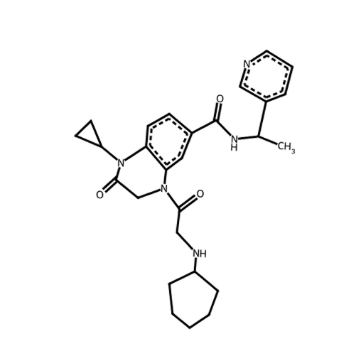 CC(NC(=O)c1ccc2c(c1)N(C(=O)CNC1CCCCC1)CC(=O)N2C1CC1)c1cccnc1